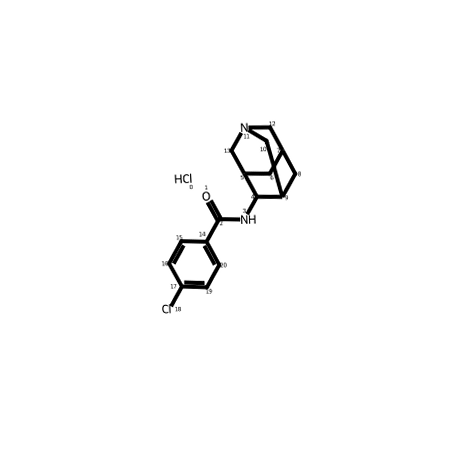 Cl.O=C(NC1C2CC3CC1CN(C3)C2)c1ccc(Cl)cc1